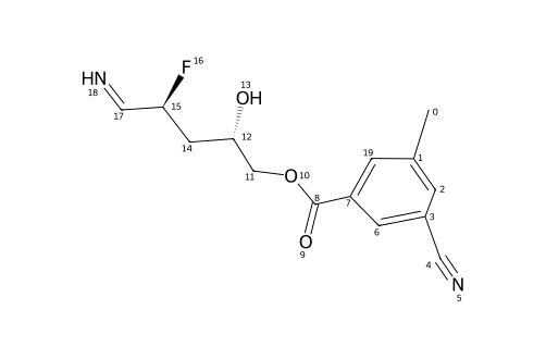 Cc1cc(C#N)cc(C(=O)OC[C@@H](O)C[C@H](F)C=N)c1